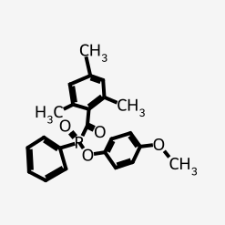 COc1ccc(OP(=O)(C(=O)c2c(C)cc(C)cc2C)c2ccccc2)cc1